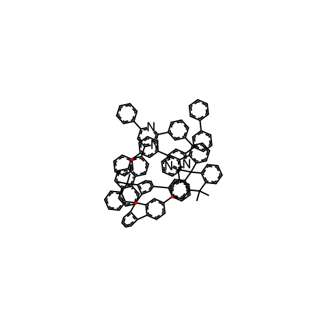 CC1(C)c2ccccc2C2(c3ccccc3-c3ccc(-c4cccc(-c5nc(-c6cccc(-c7ccccc7)c6)cc(-c6cccc(-c7ccccc7)c6)n5)c4)cc32)c2cc(-c3ccc4c(c3)C3(c5ccccc5-c5c(-c6cccc(-c7nc(-c8ccccc8)cc(-c8ccc9c(ccc%10ccccc%109)c8)n7)c6)cccc53)c3ccccc3C4(C)C)ccc21